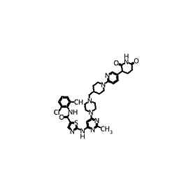 Cc1nc(Nc2ncc(C(=O)Nc3c(C)cccc3Cl)s2)cc(N2CCN(CC3CCN(c4ccc(C5CCC(=O)NC5=O)cn4)CC3)CC2)n1